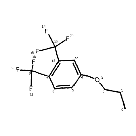 CCCOc1ccc(C(F)(F)F)c(C(F)(F)F)c1